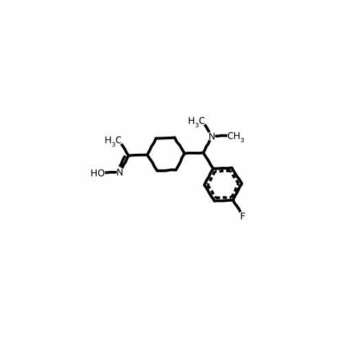 CC(=NO)C1CCC(C(c2ccc(F)cc2)N(C)C)CC1